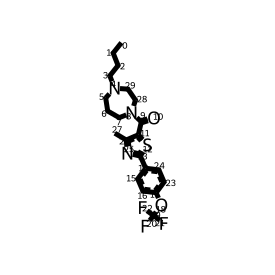 CCCCN1CCCN(C(=O)c2sc(-c3ccc(OC(F)(F)F)cc3)nc2C)CC1